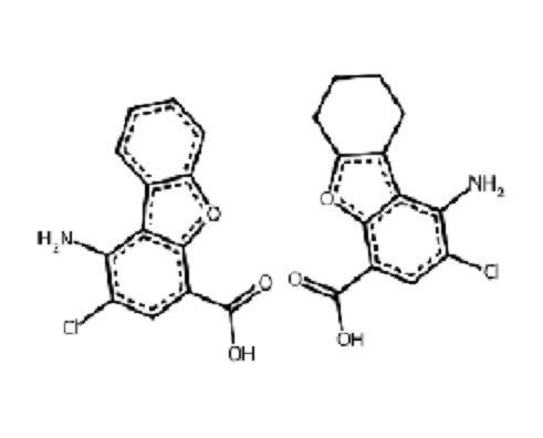 Nc1c(Cl)cc(C(=O)O)c2oc3c(c12)CCCC3.Nc1c(Cl)cc(C(=O)O)c2oc3ccccc3c12